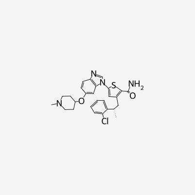 C[C@@H](Cc1cc(-n2cnc3ccc(OC4CCN(C)CC4)cc32)sc1C(N)=O)c1ccccc1Cl